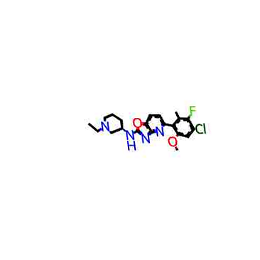 CCN1CCC[C@@H](Nc2nc3nc(-c4c(OC)cc(Cl)c(F)c4C)ccc3o2)C1